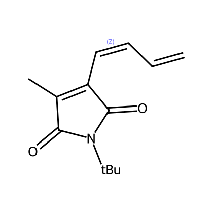 C=C/C=C\C1=C(C)C(=O)N(C(C)(C)C)C1=O